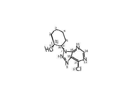 O[C@H]1CCCC[C@H]1n1nnc2c(Cl)ncnc21